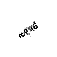 CP(C)(=O)c1ccccc1Nc1nc(Nc2ccc(N3CCN4CCC[C@H]4C3)c(N)c2)ncc1Cl